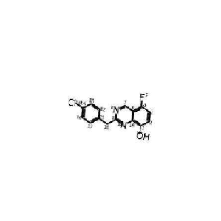 Oc1ccc(F)c2cnc(Cc3ccc(Cl)cc3)nc12